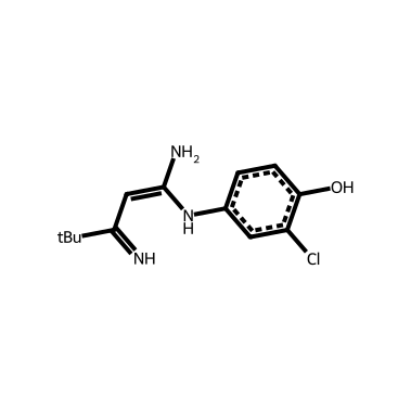 CC(C)(C)C(=N)/C=C(/N)Nc1ccc(O)c(Cl)c1